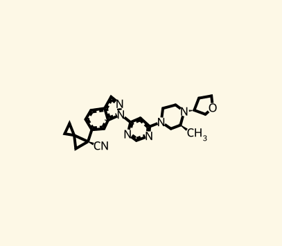 C[C@H]1CN(c2cc(-n3ncc4ccc([C@]5(C#N)CC56CC6)cc43)ncn2)CCN1[C@@H]1CCOC1